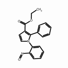 CCOC(=O)c1ccn(-c2ccccc2N=O)c1-c1ccccc1